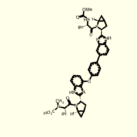 COC(=O)N[C@H](C(=O)N1[C@@H]2CC2C[C@H]1c1nc2cc(-c3ccc(Oc4cccc5[nH]c([C@@H]6CC7C[C@H]7N6C(=O)[C@H](C(C)C)N(C)C(=O)O)nc45)cc3)ccc2[nH]1)C(C)C